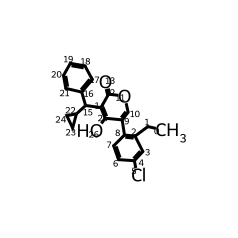 CCc1cc(Cl)ccc1-c1coc(=O)c(C(c2ccccc2)C2CC2)c1O